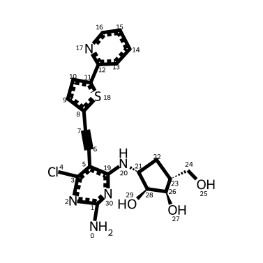 Nc1nc(Cl)c(C#Cc2ccc(-c3ccccn3)s2)c(N[C@@H]2C[C@H](CO)[C@@H](O)[C@H]2O)n1